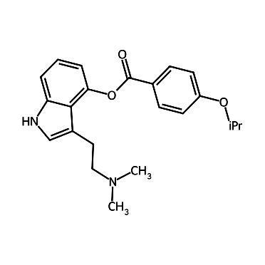 CC(C)Oc1ccc(C(=O)Oc2cccc3[nH]cc(CCN(C)C)c23)cc1